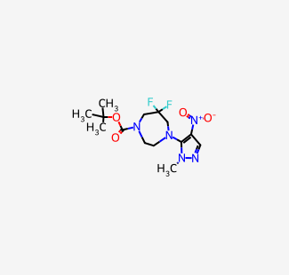 Cn1ncc([N+](=O)[O-])c1N1CCN(C(=O)OC(C)(C)C)CC(F)(F)C1